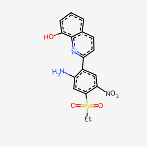 CCS(=O)(=O)c1cc(N)c(-c2ccc3cccc(O)c3n2)cc1[N+](=O)[O-]